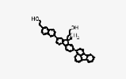 C=CC1(CCCO)c2cc(-c3ccc4cc(CCO)ccc4c3)ccc2-c2ccc(-c3ccc4c5c(cccc35)-c3ccccc3-4)cc21